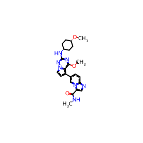 CNC(=O)c1cnc2ccc(-c3ccn4nc(N[C@H]5CC[C@@H](OC)CC5)nc(OC)c34)cn12